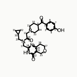 O=C(c1ccc(O)cc1)C1CCN(CC(=O)N(Cc2nc3c(c(=O)[nH]2)COCC3)CC2CC2)CC1